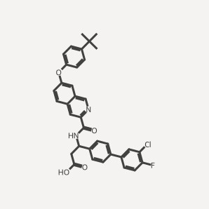 CC(C)(C)c1ccc(Oc2ccc3cc(C(=O)NC(CC(=O)O)c4ccc(-c5ccc(F)c(Cl)c5)cc4)ncc3c2)cc1